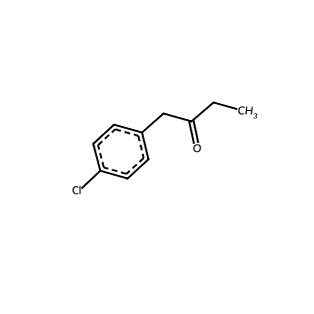 CCC(=O)Cc1ccc(Cl)cc1